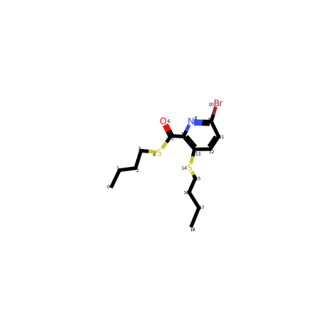 CCCCSC(=O)c1nc(Br)ccc1SCCCC